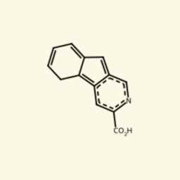 O=C(O)c1cc2c(cn1)=CC1=CC=CCC=21